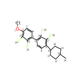 CCOc1ccc(-c2ccc(C3CCC(C)CC3)c(F)c2F)c(F)c1F